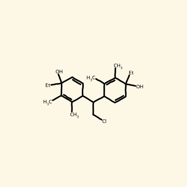 CCC1(O)C=CC(C(CCl)C2C=CC(O)(CC)C(C)=C2C)C(C)=C1C